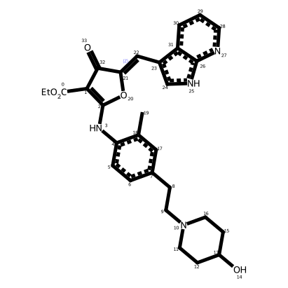 CCOC(=O)C1=C(Nc2ccc(CCN3CCC(O)CC3)cc2C)O/C(=C\c2c[nH]c3ncccc23)C1=O